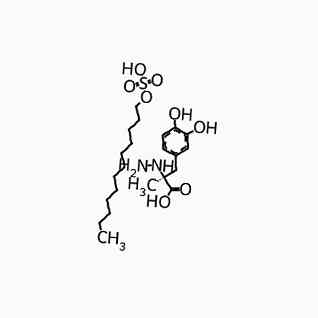 CCCCCCCCCCCCOS(=O)(=O)O.C[C@@](Cc1ccc(O)c(O)c1)(NN)C(=O)O